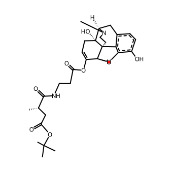 C[C@@H](CC(=O)OC(C)(C)C)C(=O)NCCC(=O)OC1=CC[C@@]2(O)[C@H]3Cc4ccc(O)c5c4[C@@]2(CCN3C)[C@H]1O5